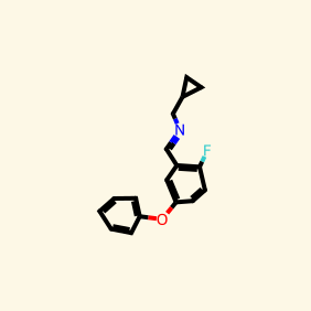 Fc1ccc(Oc2ccccc2)cc1/C=N/CC1CC1